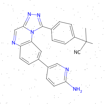 CC(C)(C#N)c1ccc(-c2nnc3cnc4ccc(-c5ccc(N)nc5)cc4n23)cc1